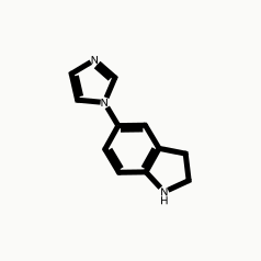 c1cn(-c2ccc3c(c2)CCN3)cn1